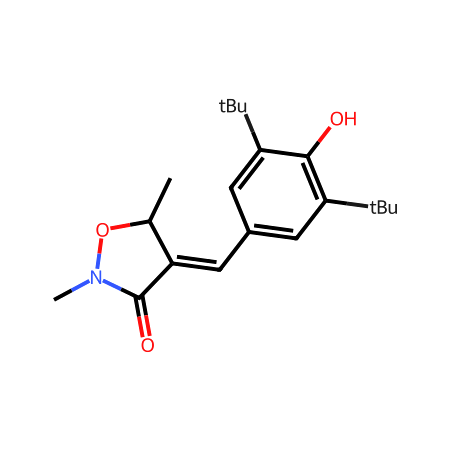 CC1ON(C)C(=O)C1=Cc1cc(C(C)(C)C)c(O)c(C(C)(C)C)c1